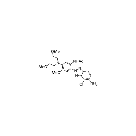 COCCN(CCOC)c1cc(NC(C)=O)c(-n2nc3ccc(N)c(Cl)c3n2)cc1OC